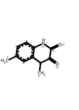 Cc1ccc2c(c1)C(C)C(=O)C(=O)N2